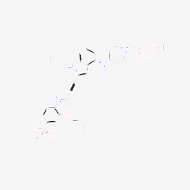 CS(=O)(=O)c1ccc(NCC#Cc2cc3c(NC4CCN(CC(O)CO)CC4)cccc3n2CC(F)(F)F)c(OCCF)c1